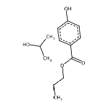 CC(C)O.CCCOC(=O)c1ccc(O)cc1